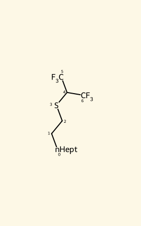 [CH2]CCCCCCCCSC(C(F)(F)F)C(F)(F)F